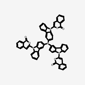 O=c1oc(-n2c3ccccc3c3cc(N(c4ccc5c(c4)c4ccccc4n5-c4cc5ccccc5c(=O)o4)c4ccc5c(c4)c4ccccc4n5-c4cc5ccccc5c(=O)o4)ccc32)cc2ccccc12